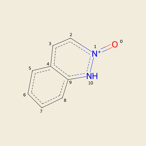 O=[n+]1ccc2ccccc2[nH]1